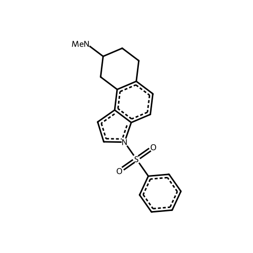 CNC1CCc2ccc3c(ccn3S(=O)(=O)c3ccccc3)c2C1